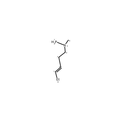 CC/C=C/CCN(C)P